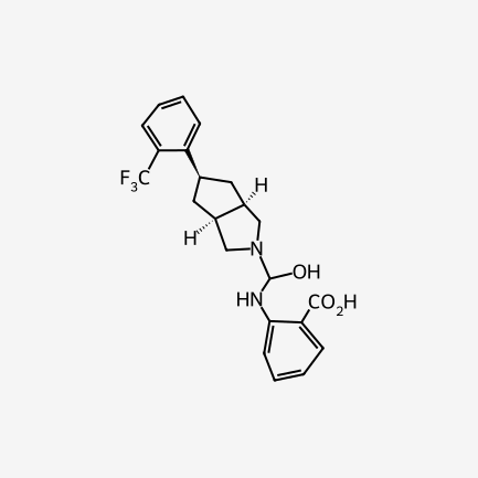 O=C(O)c1ccccc1NC(O)N1C[C@H]2C[C@@H](c3ccccc3C(F)(F)F)C[C@H]2C1